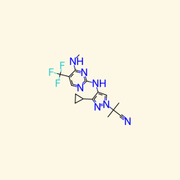 CNc1nc(Nc2cn(C(C)(C)C#N)nc2C2CC2)ncc1C(F)(F)F